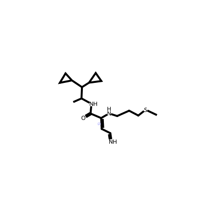 CSCCCN/C(=C\C=N)C(=O)NC(C)C(C1CC1)C1CC1